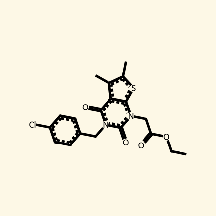 CCOC(=O)Cn1c(=O)n(Cc2ccc(Cl)cc2)c(=O)c2c(C)c(C)sc21